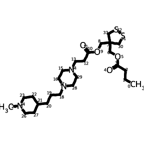 CCCC(=O)OCC1(COC(=O)CCN2CCN(CCCC3CCN(C)CC3)CC2)CSSC1